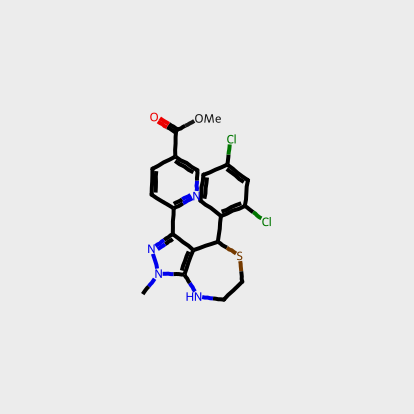 COC(=O)c1ccc(-c2nn(C)c3c2C(c2ccc(Cl)cc2Cl)SCCN3)nc1